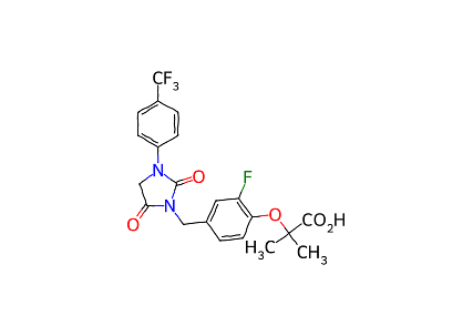 CC(C)(Oc1ccc(CN2C(=O)CN(c3ccc(C(F)(F)F)cc3)C2=O)cc1F)C(=O)O